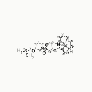 CC(C)COC1CCCN(S(=O)(=O)CC2CCN(c3ccnc4cnc5[nH]ccc5c34)CC2)C1